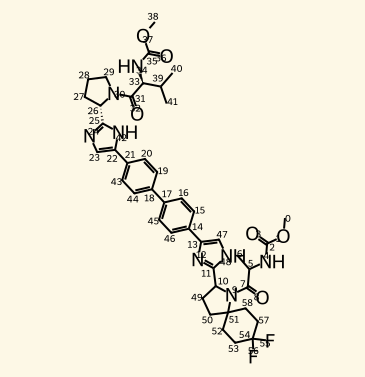 COC(=O)NC(C)C(=O)N1C(c2nc(-c3ccc(-c4ccc(-c5cnc([C@@H]6CCCN6C(=O)[C@@H](NC(=O)OC)C(C)C)[nH]5)cc4)cc3)c[nH]2)CCC12CCC(F)(F)CC2